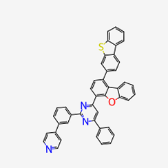 c1ccc(-c2cc(-c3ccc(-c4ccc5c(c4)sc4ccccc45)c4c3oc3ccccc34)nc(-c3cccc(-c4ccncc4)c3)n2)cc1